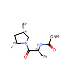 COC(=O)N[C@H](C(=O)N1C[C@@H](C(C)C)C[C@H]1C)C(C)C